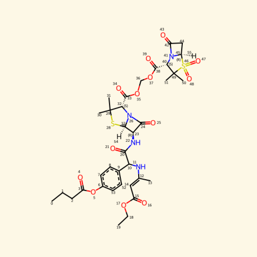 CCCC(=O)Oc1ccc(C(NC(C)=CC(=O)OCC)C(=O)N[C@@H]2C(=O)N3[C@@H]2SC(C)(C)[C@@H]3C(=O)OCOC(=O)[C@@H]2N3C(=O)C[C@H]3S(=O)(=O)C2(C)C)cc1